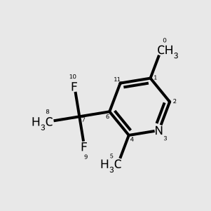 Cc1cnc(C)c(C(C)(F)F)c1